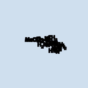 COc1ccc2cc(-c3nn(C)c4nc(Cc5noc(C)c5-c5n[nH]c6ncnc(N)c56)nc(N)c34)ccc2c1